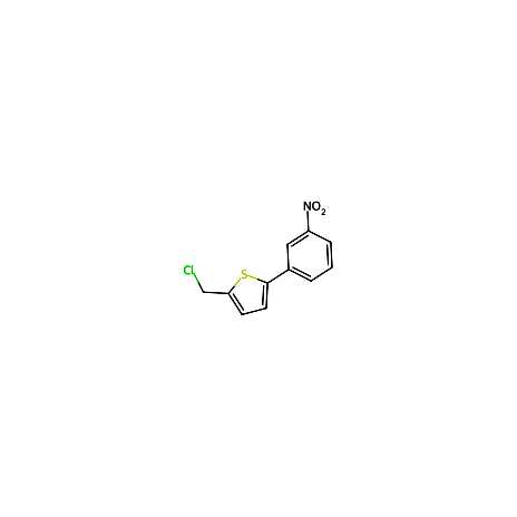 O=[N+]([O-])c1cccc(-c2ccc(CCl)s2)c1